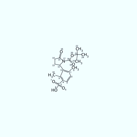 Cc1ccc(S(=O)(=O)O)c(C)c1C1CCC(=O)N1C(=O)OC(C)(C)C